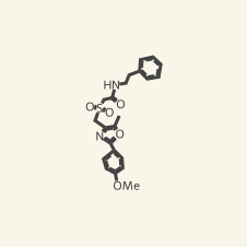 COc1ccc(-c2nc(CS(=O)(=O)CC(=O)NCCc3ccccc3)c(C)o2)cc1